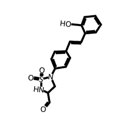 O=CC1CN(c2ccc(C=Cc3ccccc3O)cc2)S(=O)(=O)N1